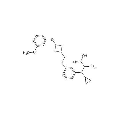 COc1cccc(OC2CC(COc3cccc([C@H](C4CC4)[C@H](C)C(=O)O)c3)C2)c1